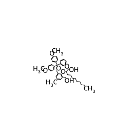 CCCCCCCCCC(Oc1c(CO)cc(C)cc1COC(c1ccccc1)(c1ccc(OC)cc1)c1ccc(OC)cc1)C(=O)O